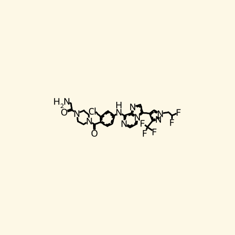 NCC(=O)N1CCN(C(=O)c2ccc(Nc3nccn4c(-c5cn(CC(F)F)nc5C(F)(F)F)cnc34)cc2Cl)CC1